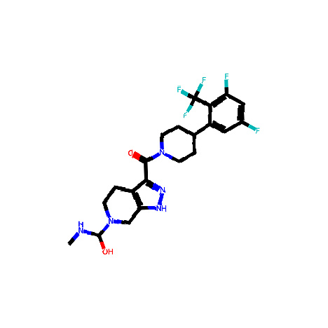 CNC(O)N1CCc2c(C(=O)N3CCC(c4cc(F)cc(F)c4C(F)(F)F)CC3)n[nH]c2C1